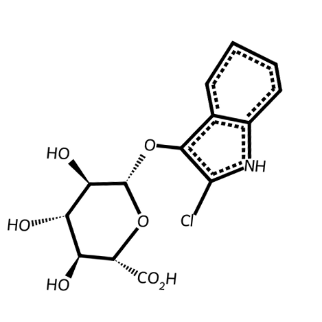 O=C(O)[C@H]1O[C@@H](Oc2c(Cl)[nH]c3ccccc23)[C@H](O)[C@@H](O)[C@@H]1O